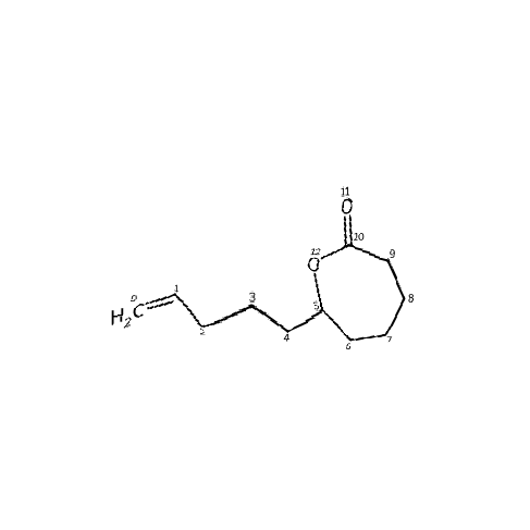 C=CCCCC1CCCCC(=O)O1